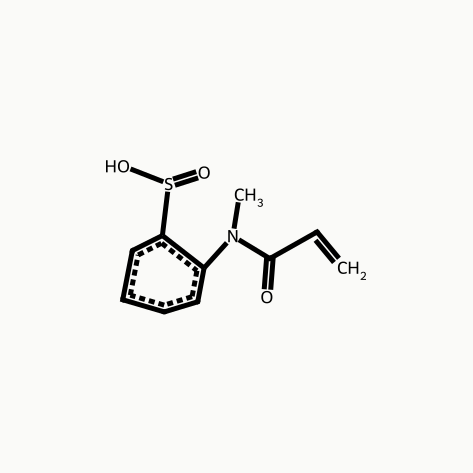 C=CC(=O)N(C)c1ccccc1S(=O)O